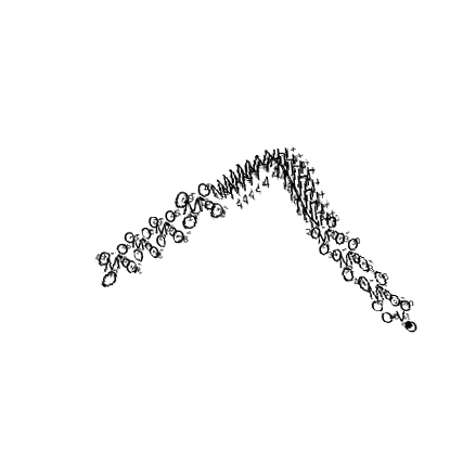 [NH4+].[NH4+].[NH4+].[NH4+].[NH4+].[NH4+].[NH4+].[NH4+].[NH4+].[NH4+].[NH4+].[NH4+].[NH4+].[NH4+].[NH4+].[O]=[Mo](=[O])([O-])[O-].[O]=[Mo](=[O])([O-])[O-].[O]=[Mo](=[O])([O-])[O-].[O]=[Mo](=[O])([O-])[O-].[O]=[Mo](=[O])([O-])[O-].[O]=[Mo](=[O])([O-])[O-].[O]=[Mo](=[O])([O-])[O-].[O]=[V](=[O])[O-]